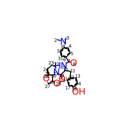 CN(C)c1ccc(C(=O)NC(Cc2ccc(O)cc2)C(=O)N2CCC=C3OCC(=O)C32)cc1